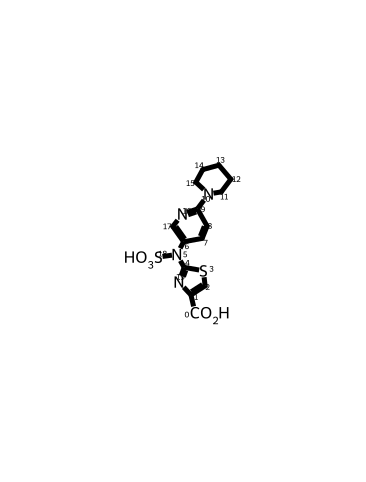 O=C(O)c1csc(N(c2ccc(N3CCCCC3)nc2)S(=O)(=O)O)n1